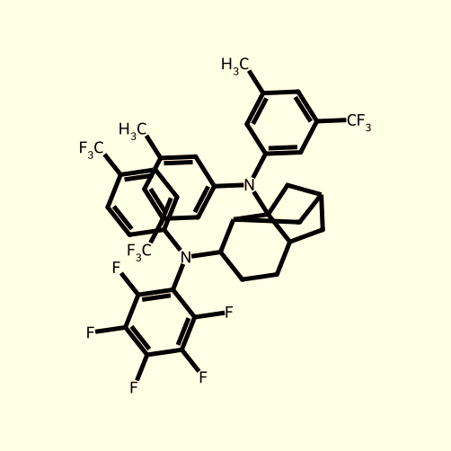 Cc1cc(N(c2cc(C)cc(C(F)(F)F)c2)C23CC4CC2CCC(N(c2ccc(C(F)(F)F)cc2)c2c(F)c(F)c(F)c(F)c2F)C3C4)cc(C(F)(F)F)c1